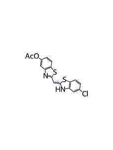 CC(=O)Oc1ccc2sc(/C=C3/Nc4cc(Cl)ccc4S3)nc2c1